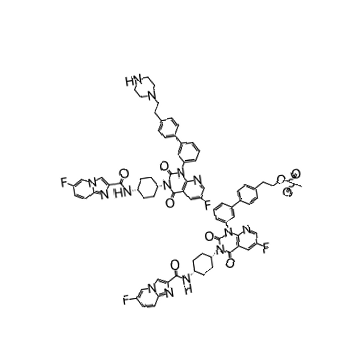 CS(=O)(=O)OCCc1ccc(-c2cccc(-n3c(=O)n([C@H]4CC[C@@H](NC(=O)c5cn6cc(F)ccc6n5)CC4)c(=O)c4cc(F)cnc43)c2)cc1.O=C(N[C@H]1CC[C@@H](n2c(=O)c3cc(F)cnc3n(-c3cccc(-c4ccc(CCN5CCNCC5)cc4)c3)c2=O)CC1)c1cn2cc(F)ccc2n1